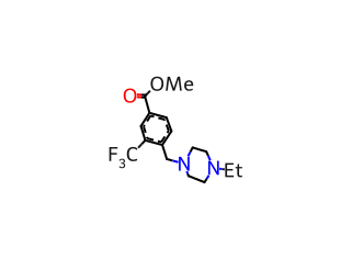 CCN1CCN(Cc2ccc(C(=O)OC)cc2C(F)(F)F)CC1